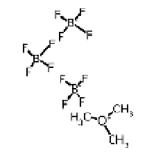 C[O+](C)C.F[B-](F)(F)F.F[B-](F)(F)F.F[B-](F)(F)F